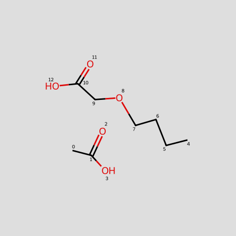 CC(=O)O.CCCCOCC(=O)O